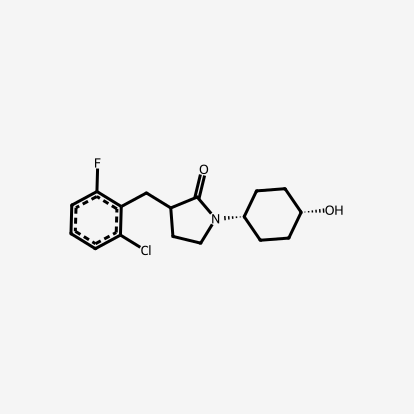 O=C1C(Cc2c(F)cccc2Cl)CCN1[C@H]1CC[C@@H](O)CC1